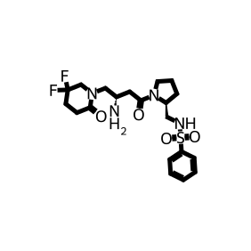 N[C@@H](CC(=O)N1CCC[C@H]1CNS(=O)(=O)c1ccccc1)CN1CC(F)(F)CCC1=O